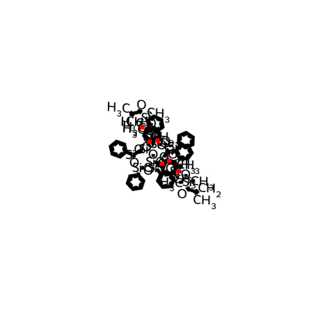 C=C(C)C(=O)[Si](C)(C)O[Si](C)(C)O[Si]1(C)O[Si]2(c3ccccc3)O[Si]3(c4ccccc4)O[Si]4(c5ccccc5)O[Si](C)(O[Si](C)(C)O[Si](C)(C)C(=O)C(=C)C)O[Si]5(c6ccccc6)O[Si](c6ccccc6)(O[Si](c6ccccc6)(O1)O[Si](c1ccccc1)(O5)O[Si](c1ccccc1)(O2)O4)O3